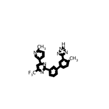 Cc1ccc(-c2cc(C(F)(F)F)nc(-c3cccc(-c4ccc(C)c(-c5nn[nH]n5)c4)c3)n2)cn1